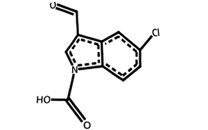 O=Cc1cn(C(=O)O)c2ccc(Cl)cc12